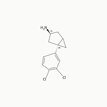 N[C@H]1CC2C[C@@]2(c2ccc(Cl)c(Cl)c2)C1